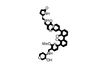 COc1nc(-c2cccc(-c3cccc(-c4ccn5c(=O)c(CNC[C@H]6CCC(=O)N6)cnc5c4)c3Cl)c2Cl)ccc1CN[C@@H]1CCOC[C@H]1O